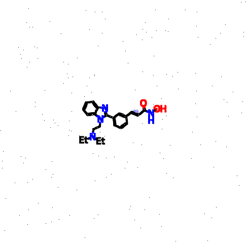 CCN(CC)CCn1c(-c2cccc(/C=C/C(=O)NO)c2)nc2ccccc21